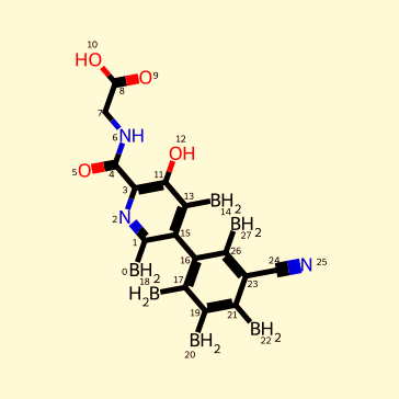 Bc1nc(C(=O)NCC(=O)O)c(O)c(B)c1-c1c(B)c(B)c(B)c(C#N)c1B